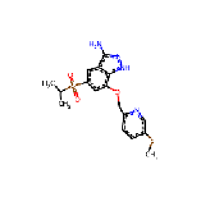 CSc1ccc(COc2cc(S(=O)(=O)C(C)C)cc3c(N)n[nH]c23)nc1